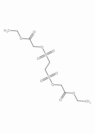 CCOC(=O)COS(=O)(=O)CCS(=O)(=O)OCC(=O)OCC